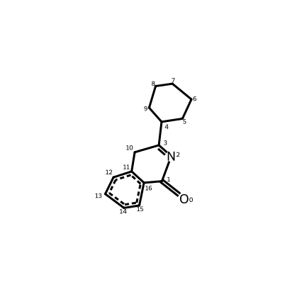 O=C1N=C(C2CCCCC2)Cc2ccccc21